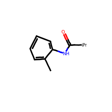 Cc1ccccc1NC(=O)C(C)C